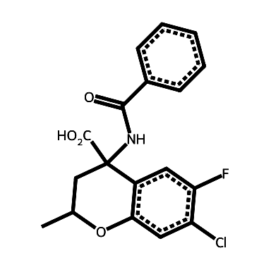 CC1CC(NC(=O)c2ccccc2)(C(=O)O)c2cc(F)c(Cl)cc2O1